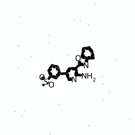 CS(=O)(=O)c1cccc(-c2cnc(N)c(-c3nc4ccccc4o3)c2)c1